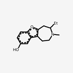 CCC1Cc2oc3ccc(O)cc3c2CCN1C